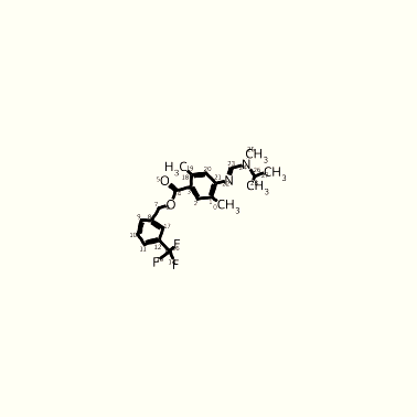 Cc1cc(C(=O)OCc2cccc(C(F)(F)F)c2)c(C)cc1/N=C/N(C)C(C)C